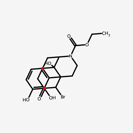 CCOC(=O)N1CCC23c4c(ccc(O)c4O)CC1C2(O)CCC(=O)C3Br